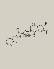 O=C(NCc1cccnc1F)c1cc(NC(=O)c2cc(F)c(F)cc2Cl)[nH]n1